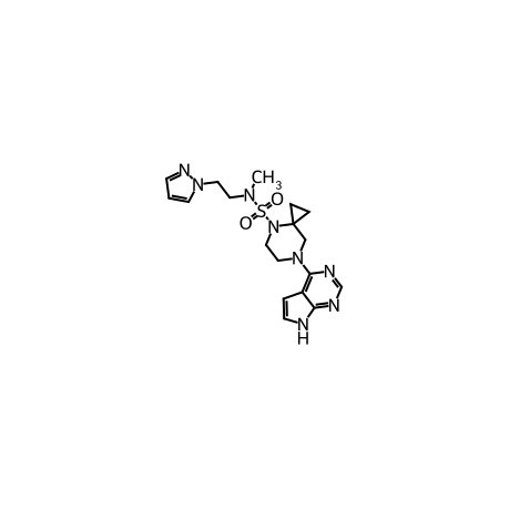 CN(CCn1cccn1)S(=O)(=O)N1CCN(c2ncnc3[nH]ccc23)CC12CC2